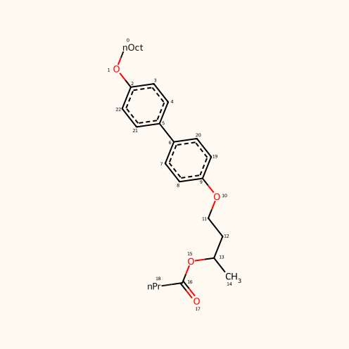 CCCCCCCCOc1ccc(-c2ccc(OCCC(C)OC(=O)CCC)cc2)cc1